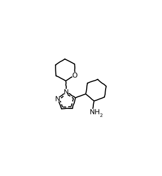 NC1CCCCC1c1ccnn1C1CCCCO1